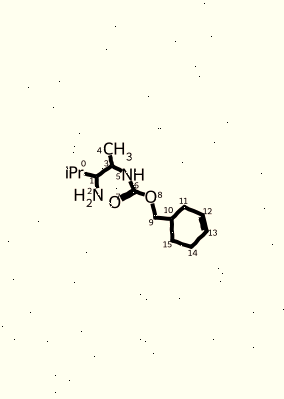 CC(C)C(N)C(C)NC(=O)OCC1CC=CCC1